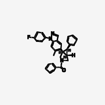 Cc1cc2c(cnn2-c2ccc(F)cc2)cc1[C@]12CN(C(=O)c3ccccc3)C[C@H]1[C@@H]2c1ccccc1